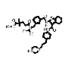 CCC(CC)N(Cc1cccc(C(=O)Nc2sc3c(c2C(=O)Nc2ccc(CCCN4CCNCC4)cc2)CCCC3)c1)C(=O)CCC(C)(C)C(=O)OC